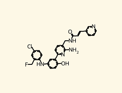 Nc1nc(-c2cc(Nc3ccc(Cl)cc3CF)ccc2O)ccc1CNC(=O)C=Cc1cccnc1